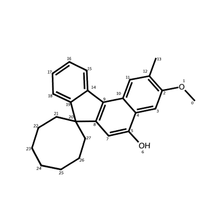 COc1cc2c(O)cc3c(c2cc1C)-c1ccccc1C31CCCCCCC1